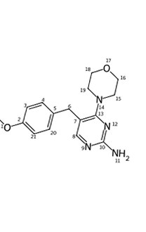 COc1ccc(Cc2cnc(N)nc2N2CCOCC2)cc1